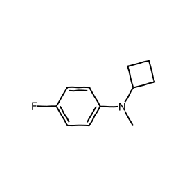 CN(c1ccc(F)cc1)C1CCC1